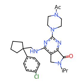 CC(=O)N1CCN(c2nc(NCC3(c4ccc(Cl)cc4)CCCC3)c3c(n2)C(=O)N(C(C)C)C3)CC1